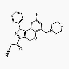 N#CCC(=O)c1nn(-c2ccccc2)c2c1COc1c(CN3CCOCC3)cc(F)cc1-2